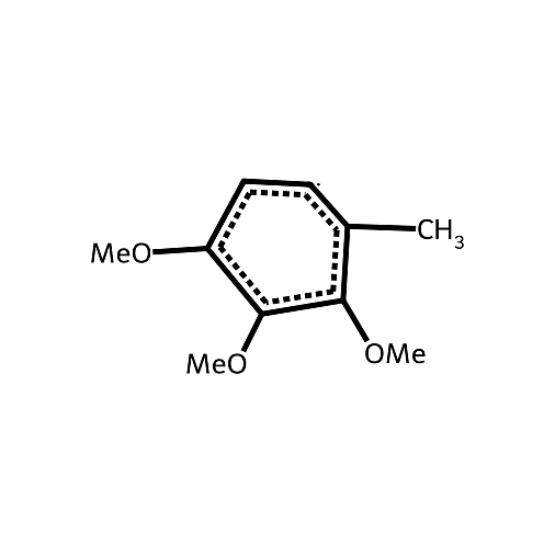 COc1c[c]c(C)c(OC)c1OC